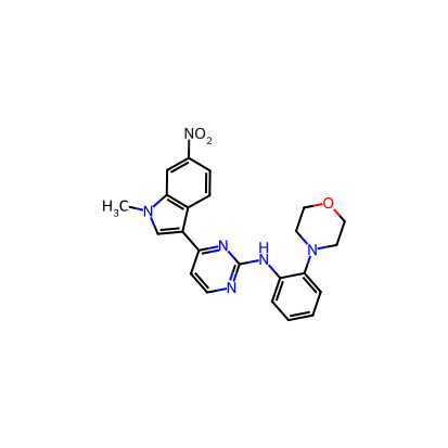 Cn1cc(-c2ccnc(Nc3ccccc3N3CCOCC3)n2)c2ccc([N+](=O)[O-])cc21